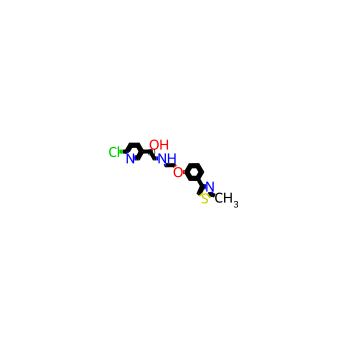 Cc1nc(-c2cccc(OCCNC[C@H](O)c3ccc(Cl)nc3)c2)cs1